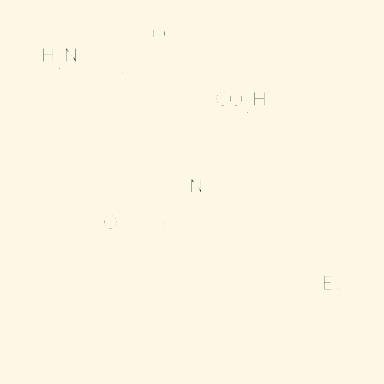 CCc1cccc2c1CN(C(CC(N)=O)C(=O)O)C2=O